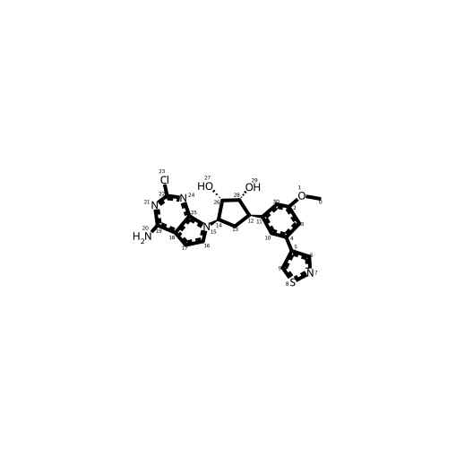 COc1cc(-c2cnsc2)cc([C@H]2C[C@@H](n3ccc4c(N)nc(Cl)nc43)[C@H](O)[C@@H]2O)c1